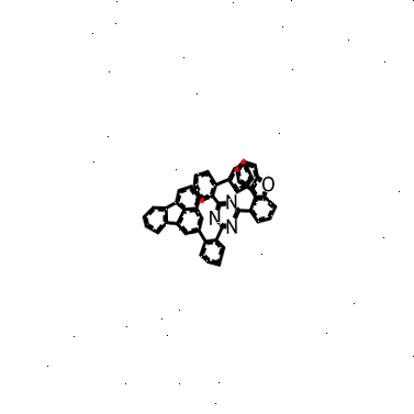 c1ccc(-c2ccccc2-c2nc(-c3ccccc3-c3cc4c5c(cccc5c3)-c3ccccc3-4)nc(-c3cccc4oc5ccccc5c34)n2)cc1